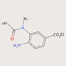 CCCC(=O)N(c1cc(C(=O)OCC)ccc1N)C(C)C